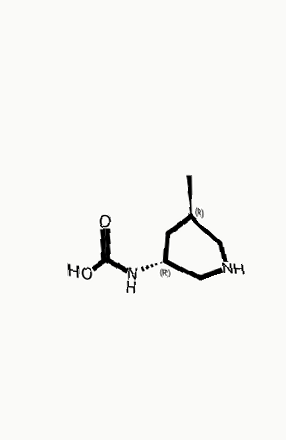 C[C@H]1CNC[C@H](NC(=O)O)C1